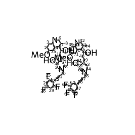 COc1ccc2ncc(C)c(C(O)CCC3(CO)CCN(CC#Cc4c(F)cc(F)cc4F)CC3)c2c1.COc1ccc2ncc(C)c(C(O)CCC3(CO)CCN(CC#Cc4cc(F)c(F)c(F)c4)CC3)c2c1